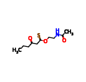 CCCC(=O)CC(=S)OCCNC(C)=O